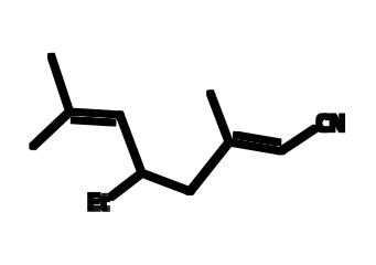 CCC(C=C(C)C)C/C(C)=C/C#N